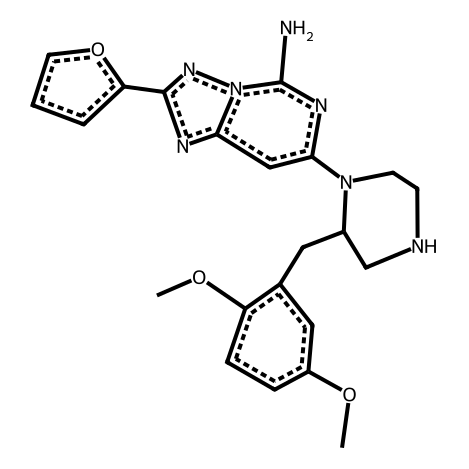 COc1ccc(OC)c(CC2CNCCN2c2cc3nc(-c4ccco4)nn3c(N)n2)c1